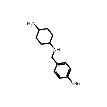 CCCCc1ccc(CNC2CCC(N)CC2)cc1